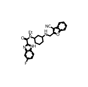 CCN(C(=O)c1nc2cc(F)ccc2[nH]1)C1CCCC(NCc2oc3ccccc3c2C#N)C1